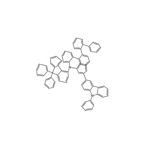 c1ccc(-c2ccccc2-c2ccccc2-c2ccccc2N(c2cccc(-c3ccc4c(c3)c3ccccc3n4-c3ccccc3)c2)c2cccc3c2-c2ccccc2C3(c2ccccc2)c2ccccc2)cc1